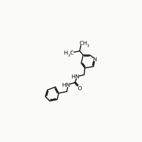 CC(C)c1cncc(CNC(=O)NCc2ccccc2)c1